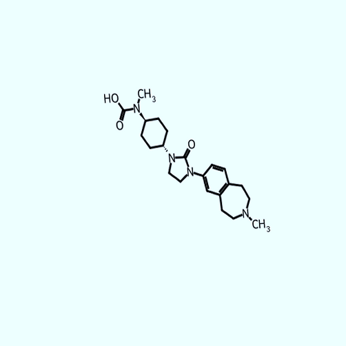 CN1CCc2ccc(N3CCN([C@H]4CC[C@H](N(C)C(=O)O)CC4)C3=O)cc2CC1